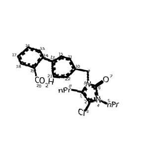 CCCc1c(Cl)n(CCC)c(=O)n1Cc1ccc(-c2ccccc2C(=O)O)cc1